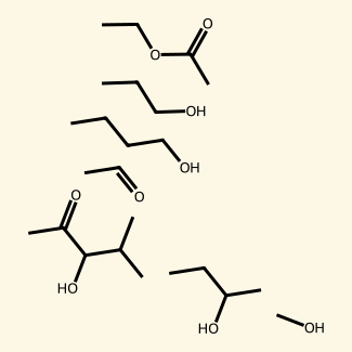 CC(=O)C(O)C(C)C.CC=O.CCC(C)O.CCCCO.CCCO.CCOC(C)=O.CO